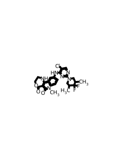 CC1CN(c2ncc(Cl)c(Nc3ccc4c(c3)c3c(c(=O)n4C)C(=O)OCCN3)n2)CC(C)C1(F)F